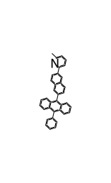 Cc1cccc(-c2ccc3cc(-c4c5ccccc5c(-c5ccccc5)c5ccccc45)ccc3c2)n1